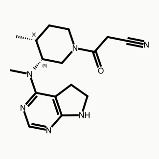 C[C@@H]1CCN(C(=O)CC#N)C[C@@H]1N(C)c1ncnc2c1CCN2